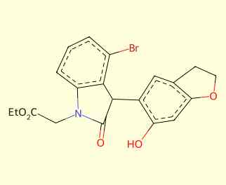 CCOC(=O)CN1C(=O)C(c2cc3c(cc2O)OCC3)c2c(Br)cccc21